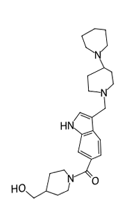 O=C(c1ccc2c(CN3CCC(N4CCCCC4)CC3)c[nH]c2c1)N1CCC(CO)CC1